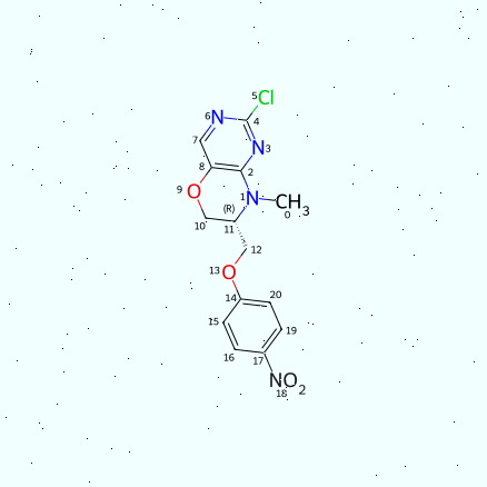 CN1c2nc(Cl)ncc2OC[C@H]1COc1ccc([N+](=O)[O-])cc1